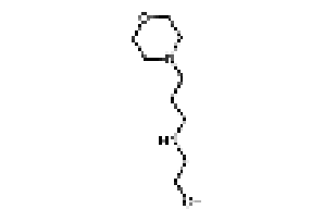 OCCNCCCN1CCOCC1